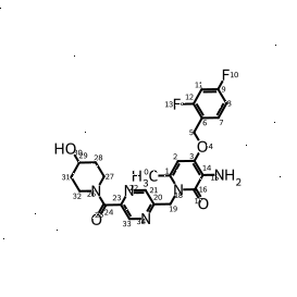 Cc1cc(OCc2ccc(F)cc2F)c(N)c(=O)n1Cc1cnc(C(=O)N2CCC(O)CC2)cn1